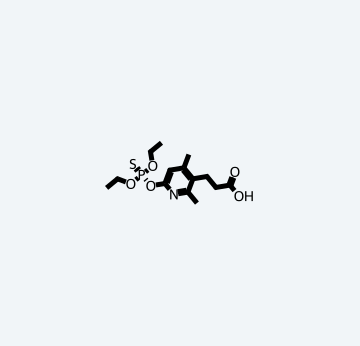 CCOP(=S)(OCC)Oc1cc(C)c(CCC(=O)O)c(C)n1